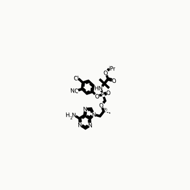 CC(C)OC(=O)C(C)(C)NP(=O)(CO[C@H](C)Cn1cnc2c(N)ncnc21)Oc1ccc(Cl)c(C#N)c1